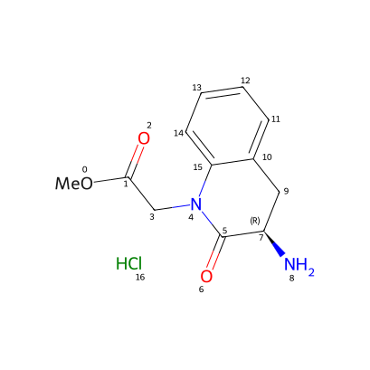 COC(=O)CN1C(=O)[C@H](N)Cc2ccccc21.Cl